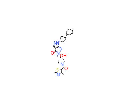 Cc1nc(C)c(C(=O)N2CCC(O)(Cn3cnc4c(cnn4-c4ccc(-c5ccccc5)cc4)c3=O)CC2)s1